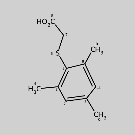 Cc1cc(C)c(SCC(=O)O)c(C)c1